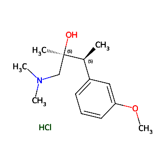 COc1cccc([C@H](C)[C@](C)(O)CN(C)C)c1.Cl